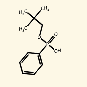 CC(C)(C)COP(=O)(O)c1ccccc1